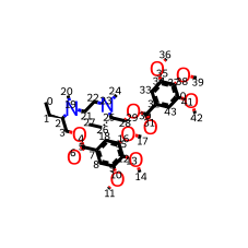 CC[C@H](COC(=O)c1cc(OC)c(OC)c(OC)c1)N(C)CCN(C)[C@@H](CC)COC(=O)c1cc(OC)c(OC)c(OC)c1